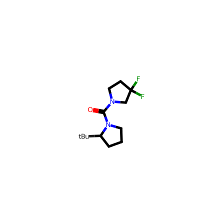 CC(C)(C)C1CCCN1C(=O)N1CCC(F)(F)C1